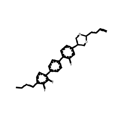 C=CCCC1OCC(c2ccc(-c3ccc(-c4ccc(CCCC)c(F)c4F)cc3)c(F)c2)CO1